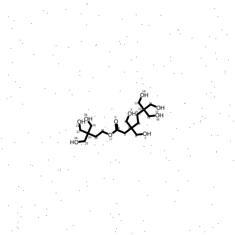 O=C(CC(CO)(CO)CCC(CO)(CO)CO)OCCC(CO)(CO)CO